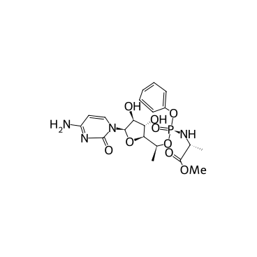 COC(=O)[C@@H](C)N[P@@](=O)(Oc1ccccc1)O[C@@H](C)[C@H]1O[C@@H](n2ccc(N)nc2=O)[C@@H](O)[C@@H]1O